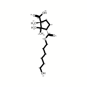 CC1(C)[C@@H](C(=O)OCCCCCCO)CC[C@@]1(C)C(=O)O